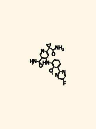 CNC(=O)c1cnc(C2(C(N)=O)CC2)cc1Nc1cccc(-c2ncc(F)cn2)c1OC